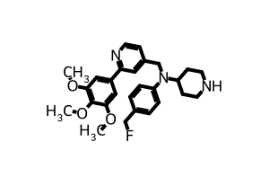 COc1cc(-c2cc(CN(c3ccc(CF)cc3)C3CCNCC3)ccn2)cc(OC)c1OC